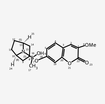 COc1cc2ccc(O[C@@H]3C[C@H]4CC[C@@H](C3)N4B(C)O)cc2oc1=O